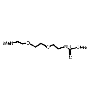 CNCCOCCOCCNC(=O)OC